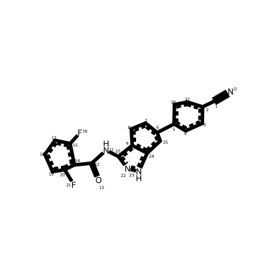 N#Cc1ccc(-c2ccc3c(NC(=O)c4c(F)cccc4F)n[nH]c3c2)cc1